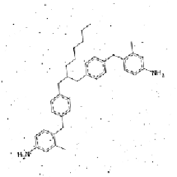 CCCCCCC(Cc1ccc(Cc2ccc(N)cc2C)cc1)Cc1ccc(Cc2ccc(N)cc2C)cc1